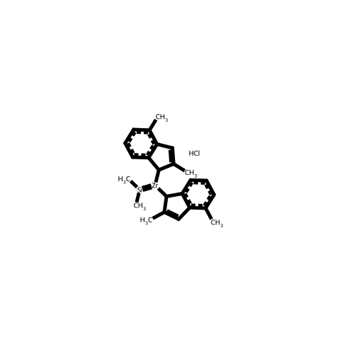 CC1=Cc2c(C)cccc2[CH]1[Zr]([CH]1C(C)=Cc2c(C)cccc21)=[Si](C)C.Cl